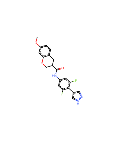 COc1ccc2c(c1)OCC(C(=O)Nc1cc(F)c(-c3cn[nH]c3)c(F)c1)C2